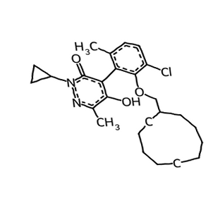 Cc1ccc(Cl)c(OCC2CCCCCCCCC2)c1-c1c(O)c(C)nn(C2CC2)c1=O